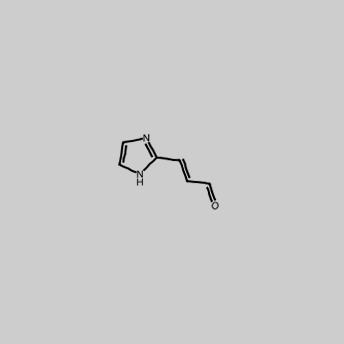 O=C/C=C/c1ncc[nH]1